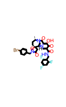 C[C@H]1CC[C@]2(CC(=O)N(Cc3ccc(Br)cc3)O2)[C@H]2CN1C(=O)c1c(O)c(=O)c(C(=O)NCc3c(F)cc(F)cc3F)cn12